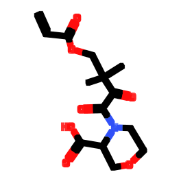 C=CC(=O)OCC(C)(C)C(=O)C(=O)N1CCOCC1C(=O)O